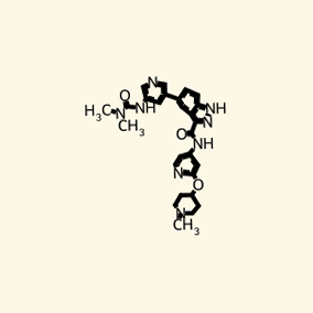 CN1CCC(Oc2cc(NC(=O)c3n[nH]c4ccc(-c5cncc(NC(=O)N(C)C)c5)cc34)ccn2)CC1